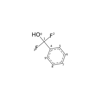 OC(F)(F)c1ccccc1